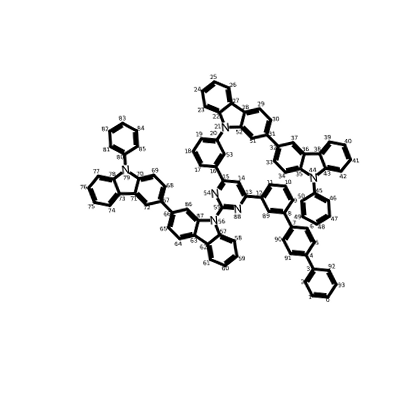 c1ccc(-c2ccc(-c3cccc(-c4cc(-c5cccc(-n6c7ccccc7c7ccc(-c8ccc9c(c8)c8ccccc8n9-c8ccccc8)cc76)c5)nc(-n5c6ccccc6c6ccc(-c7ccc8c(c7)c7ccccc7n8-c7ccccc7)cc65)n4)c3)cc2)cc1